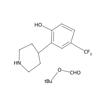 CC(C)(C)OC=O.Oc1ccc(C(F)(F)F)cc1C1CCNCC1